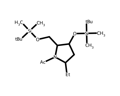 CCC1CC(O[Si](C)(C)C(C)(C)C)C(CO[Si](C)(C)C(C)(C)C)N1C(C)=O